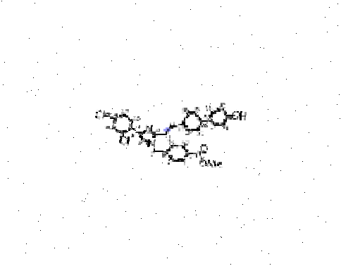 COC(=O)c1ccc(Cn2cc(-c3ccc(Cl)cc3Cl)nc2/C=C/c2ccc(-c3ccc(O)cc3)cc2)cc1